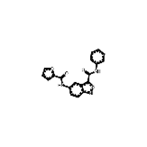 O=C(Nc1ccc2[nH]nc(C(=O)Nc3ccccc3)c2c1)c1ccco1